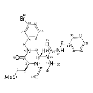 CSCC[C@H]1C(=O)N(Cc2cccc(Br)c2)C[C@H]2N1C(=O)CN(C)N2C(=O)NCc1ccccc1